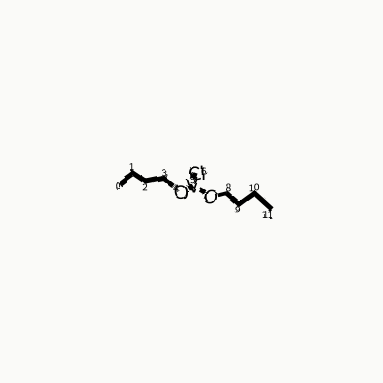 CCCC[O][V]([Cl])[O]CCCC